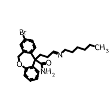 CCCCCCN=CCCC1(C(N)=O)c2ccc(Br)cc2COc2ccccc21